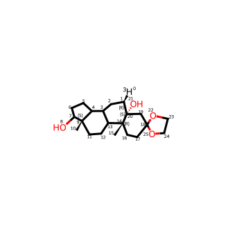 [3H][C@@H]1CC2C3CCC(O)[C@@]3(C)CCC2[C@@]2(C)CCC3(C[C@]12O)OCCO3